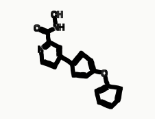 O=C(NO)c1cc(-c2ccc(Oc3ccccc3)cc2)ccn1